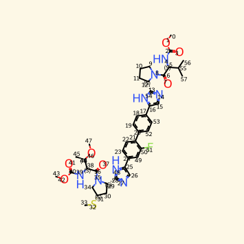 COC(=O)N[C@H](C(=O)N1CCC[C@H]1c1ncc(-c2ccc(-c3ccc(-c4cnc([C@@H]5C[C@H](SC)CN5C(=O)[C@@H](NC(=O)OC)[C@@H](C)OC)[nH]4)cc3F)cc2)[nH]1)C(C)C